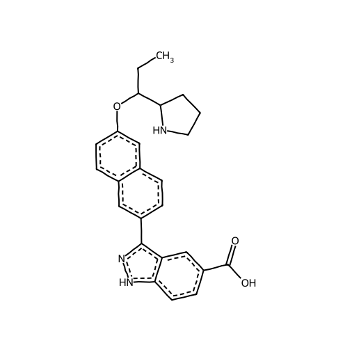 CCC(Oc1ccc2cc(-c3n[nH]c4ccc(C(=O)O)cc34)ccc2c1)C1CCCN1